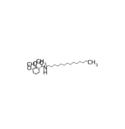 CCCCCCCCCCCCCCNC(=O)c1cccc(OC)c1OC